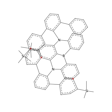 CC(C)(C)c1cc2c3c(c1)N(c1c(-c4ccccc4)cccc1-c1ccc([Si](C)(C)C)cc1)c1ccccc1B3c1ccccc1N2c1c(-c2ccccc2)cccc1-c1ccc([Si](C)(C)C)cc1